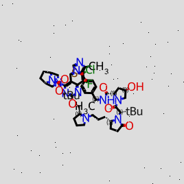 Cc1ncsc1-c1ccc([C@H](C)NC(=O)[C@@H]2C[C@@H](O)CN2C(=O)[C@@H](N2C(=O)CC[C@@H]2CCCN2CCC[C@H]2COc2nc(N3CC4CCC(C3)N4C(=O)OC(C)(C)C)c3cnc(Cl)c(F)c3n2)C(C)(C)C)cc1